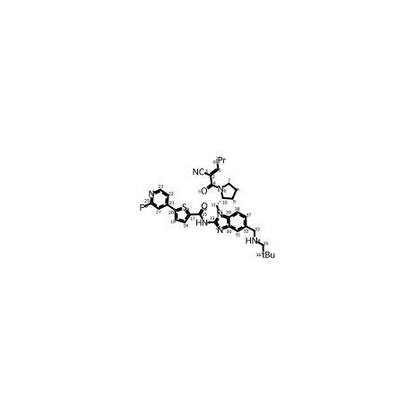 CC(C)/C=C(\C#N)C(=O)N1CCC[C@@H]1Cn1c(NC(=O)c2ccc(-c3ccnc(F)c3)s2)nc2cc(CNCC(C)(C)C)ccc21